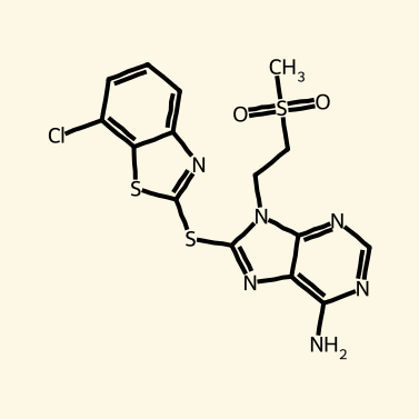 CS(=O)(=O)CCn1c(Sc2nc3cccc(Cl)c3s2)nc2c(N)ncnc21